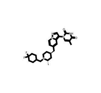 Cc1cn(-c2cnn3ccc(C[C@@H]4CCN(CC5CCC(F)(F)CC5)[C@@H](C)C4)cc23)c(=O)[nH]c1=O